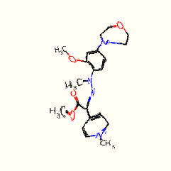 COC(=O)/C(=N\N(C)c1ccc(N2CCOCC2)cc1OC)c1cc[n+](C)cc1